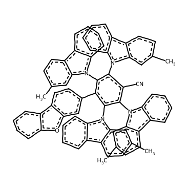 Cc1ccc2c3ccccc3n(-c3c(C#N)c(-n4c5ccccc5c5ccc(C)cc54)c(-n4c5ccccc5c5ccc(C)cc54)c(-c4ccc5c(c4)oc4ccccc45)c3-n3c4ccccc4c4ccc(C)cc43)c2c1